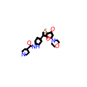 O=C(Nc1ccc(-c2csc3c(=O)cc(N4CCOCC4)oc23)cc1)C1=CC=NCC1